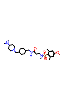 COc1cc(C)c(S(=O)(=O)N(C)CCC(=O)NCC2CCC(CN3CCC(N(C)C)CC3)CC2)c(C)c1